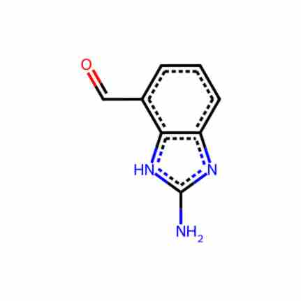 Nc1nc2cccc(C=O)c2[nH]1